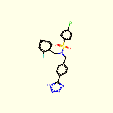 O=S(=O)(c1ccc(Cl)cc1)N(Cc1ccc(-c2nnn[nH]2)cc1)Cc1ccccc1F